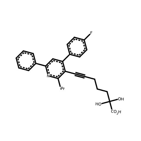 CC(C)c1nc(-c2ccccc2)cc(-c2ccc(F)cc2)c1C#CCCCC(O)(O)C(=O)O